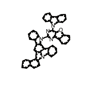 c1ccc2c(c1)ccc1c2c2cc3c4ccccc4n(-c4nc(-n5c6ccccc6c6ccccc65)c5oc6ccccc6c5n4)c3c3c4ccccc4n1c23